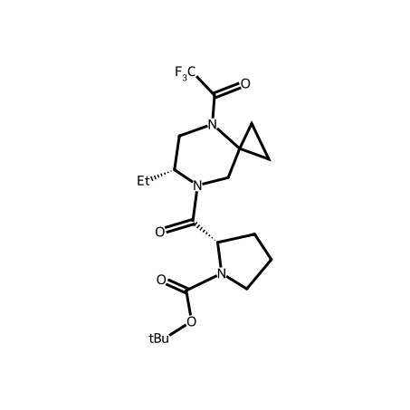 CC[C@@H]1CN(C(=O)C(F)(F)F)C2(CC2)CN1C(=O)[C@@H]1CCCN1C(=O)OC(C)(C)C